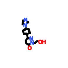 O=C1CCC(c2ccc(-n3ccnc3)cc2)=NN1CCO